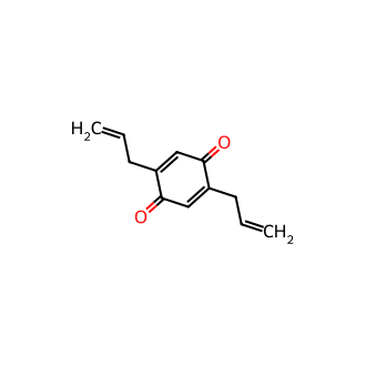 C=CCC1=CC(=O)C(CC=C)=CC1=O